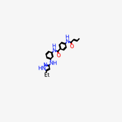 C/C=C/C(=O)Nc1ccc(C(=O)Nc2cccc(Nc3cc(CC)[nH]n3)c2)cc1